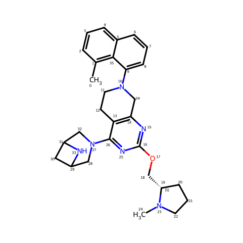 Cc1cccc2cccc(N3CCc4c(nc(OC[C@@H]5CCCN5C)nc4N4CC5CC(C4)N5)C3)c12